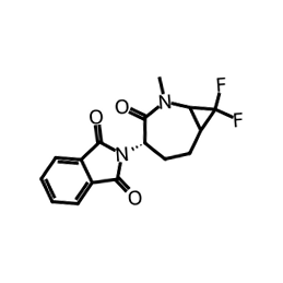 CN1C(=O)[C@@H](N2C(=O)c3ccccc3C2=O)CCC2C1C2(F)F